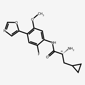 COc1cc(NC(=O)[C@H](N)CC2CC2)c(F)cc1-c1cnco1